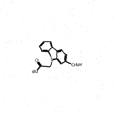 COc1ccc2c3ccccc3n(CC(=O)C(C)(C)C)c2c1